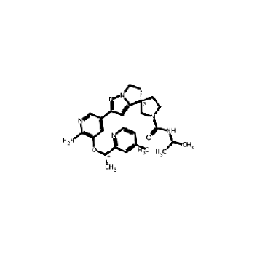 Cc1ccnc([C@@H](C)Oc2cc(-c3cc4n(n3)CC[C@@]43CCN(C(=O)NC(C)C)C3)cnc2N)c1